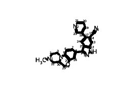 CN1CCN2c3ccc(-c4n[nH]c5cc(C#N)c(-c6cccnc6)cc45)cc3OCC2C1